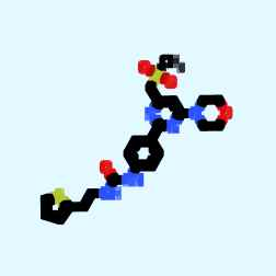 CS(=O)(=O)Cc1cc(N2CCOCC2)nc(-c2ccc(NC(=O)NCCc3cccs3)cc2)n1